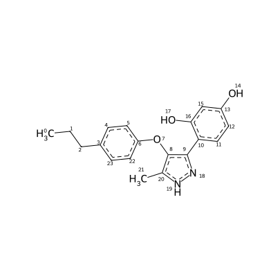 CCCc1ccc(Oc2c(-c3ccc(O)cc3O)n[nH]c2C)cc1